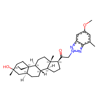 CC[C@]12CC[C@@](C)(O)C[C@@H]1CC[C@H]1[C@@H]3CC[C@H](C(=O)Cn4nc5cc(OC)cc(C)c5n4)[C@@]3(C)CC[C@@H]12